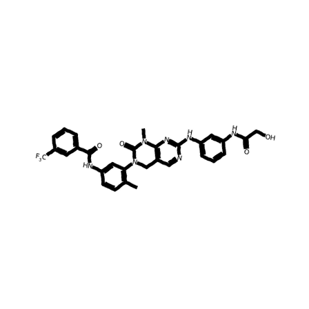 Cc1ccc(NC(=O)c2cccc(C(F)(F)F)c2)cc1N1Cc2cnc(Nc3cccc(NC(=O)CO)c3)nc2N(C)C1=O